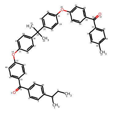 CCC(C)c1ccc(C(=O)c2ccc(Oc3ccc(C(C)(C)c4ccc(Oc5ccc(C(=O)c6ccc(C)cc6)cc5)cc4)cc3)cc2)cc1